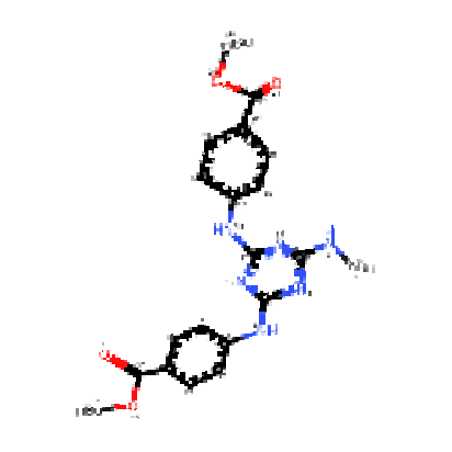 CCCCNc1nc(Nc2ccc(C(=O)OCCCC)cc2)nc(Nc2ccc(C(=O)OCCCC)cc2)n1